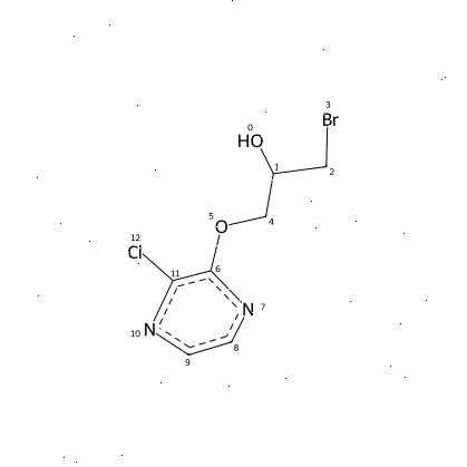 OC(CBr)COc1nccnc1Cl